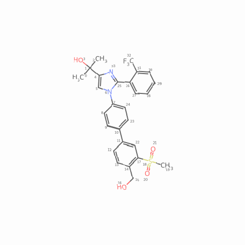 CC(C)(O)c1cn(-c2ccc(-c3ccc(CO)c(S(C)(=O)=O)c3)cc2)c(-c2ccccc2C(F)(F)F)n1